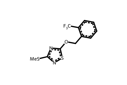 CSc1nsc(OCc2ccccc2C(F)(F)F)n1